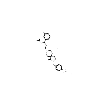 CC(C)C(=O)NC(CCN1CCC2(CC1)CCN(Cc1ccc(S(C)(=O)=O)cc1)C2=O)c1cccc(Cl)c1.Cl